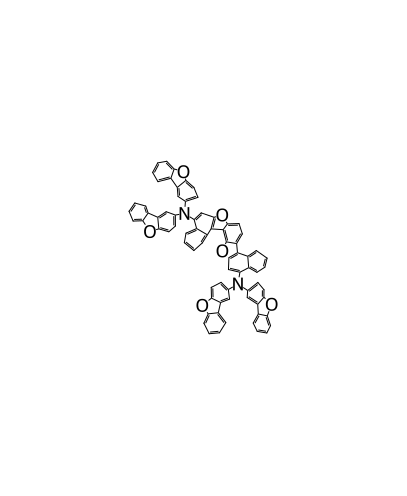 c1ccc2c(c1)oc1ccc(N(c3ccc4oc5ccccc5c4c3)c3cc4oc5c(ccc6oc7cc(N(c8ccc9oc%10ccccc%10c9c8)c8ccc9oc%10ccccc%10c9c8)c8ccccc8c7c65)c4c4ccccc34)cc12